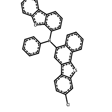 Clc1ccc2c(c1)sc1c3ccccc3c(N(c3ccccc3)c3cccc4c3oc3ccccc34)cc21